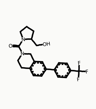 O=C(N1CCc2ccc(-c3ccc(C(F)(F)F)cc3)cc2C1)N1CCCC1CO